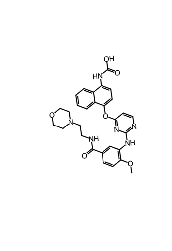 COc1ccc(C(=O)NCCN2CCOCC2)cc1Nc1nccc(Oc2ccc(NC(=O)O)c3ccccc23)n1